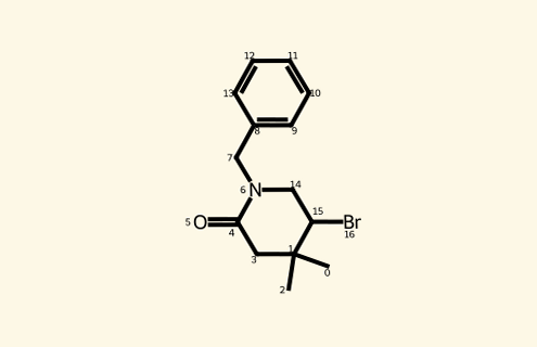 CC1(C)CC(=O)N(Cc2ccccc2)CC1Br